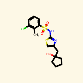 Cc1c(Cl)cccc1S(=O)(=O)Nc1nc(CC2(O)CCCC2)cs1